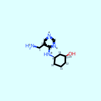 NCc1cncnc1N[C@@H]1CCC[C@H](O)C1